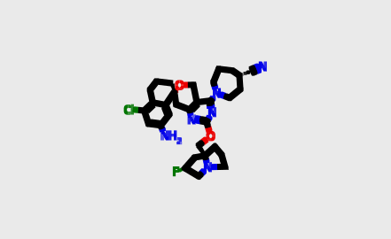 N#C[C@H]1CCCN(c2nc(OC[C@@]34CCCN3C[C@H](F)C4)nc3c2CO[C@@]2(CCCc4c(Cl)cc(N)cc42)C3)CC1